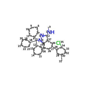 CNc1nn(C(c2ccccc2)(c2ccccc2)c2ccccc2)c2ccc(-c3cc(C)ccc3Cl)cc12